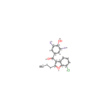 CC(C)(C)CCc1oc2c(Cl)cccc2c1C(=O)c1cc(I)c(O)c(I)c1